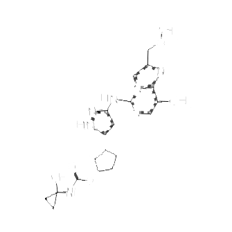 COCc1cn2c(Nc3cc([C@@H]4CC[C@H](OC(=O)NC5(C)CC5)[C@@H]4F)[nH]n3)ncc(C)c2n1